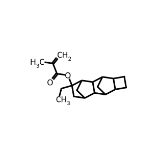 C=C(C)C(=O)OC1(CC)CC2CC1C1C3CC(C4CCC43)C21